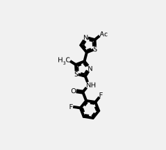 CC(=O)c1ncc(-c2nc(NC(=O)c3c(F)cccc3F)sc2C)s1